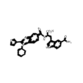 NC(=O)c1ccc2[nH]cc(CC(NC(=O)c3ccc4c(c3)nc(-c3ccoc3)n4C3CCCCC3)C(=O)O)c2c1